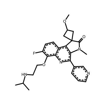 COC1CC2(C1)C(=O)N(C)c1c(-c3cccnc3)nc3c(OCCNC(C)C)c(F)ccc3c12